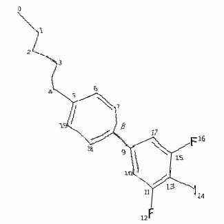 CCCCCc1ccc(-c2cc(F)c(I)c(F)c2)cc1